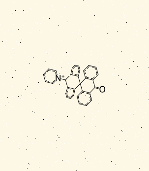 O=C1c2ccccc2C2(c3ccccc31)c1ccccc1C([n+]1ccccc1)c1ccccc12